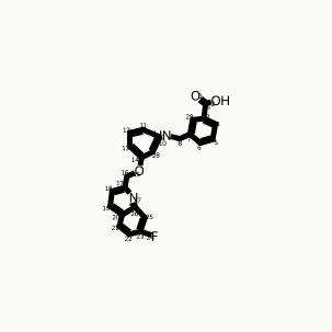 O=C(O)c1cccc(CNc2cccc(OCc3ccc4ccc(F)cc4n3)c2)c1